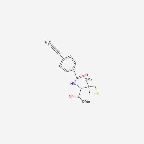 CC#Cc1ccc(C(=O)NC(C(=O)OC)C2(OC)CSC2)cc1